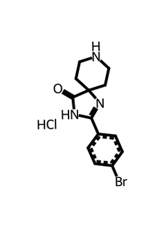 Cl.O=C1NC(c2ccc(Br)cc2)=NC12CCNCC2